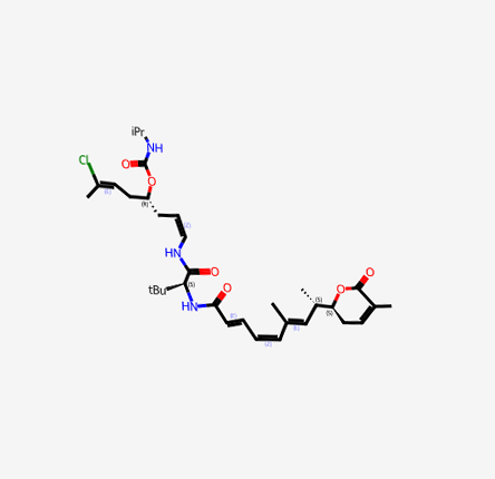 CC1=CC[C@@H]([C@@H](C)/C=C(C)/C=C\C=C\C(=O)N[C@H](C(=O)N/C=C\C[C@H](C/C=C(\C)Cl)OC(=O)NC(C)C)C(C)(C)C)OC1=O